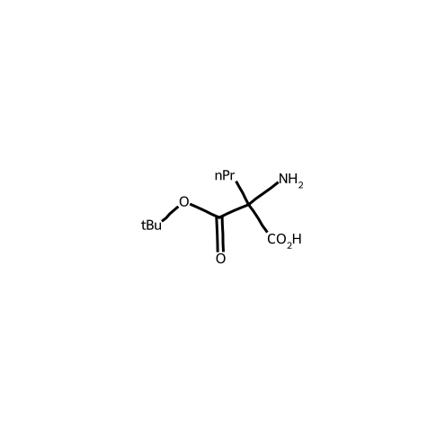 CCCC(N)(C(=O)O)C(=O)OC(C)(C)C